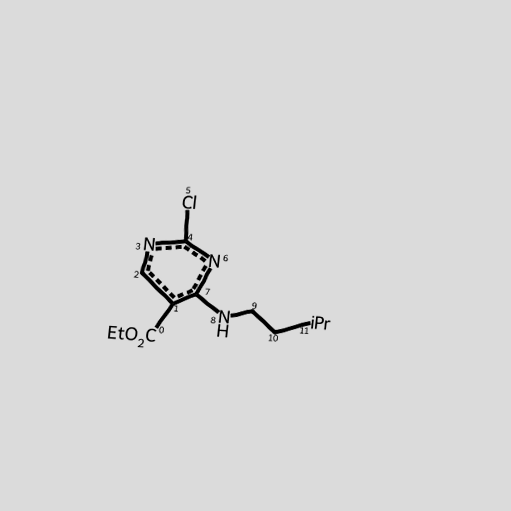 CCOC(=O)c1cnc(Cl)nc1NCCC(C)C